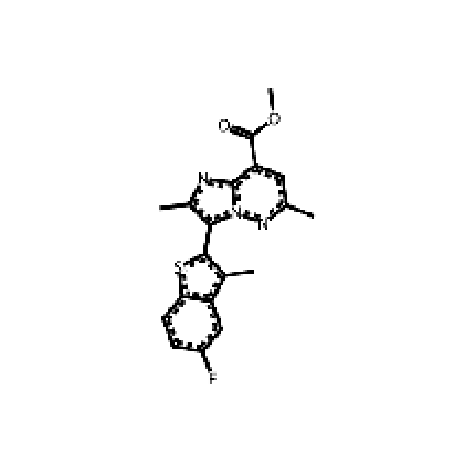 COC(=O)c1cc(C)nn2c(-c3sc4ccc(F)cc4c3C)c(C)nc12